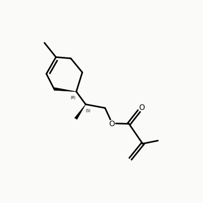 C=C(C)C(=O)OC[C@@H](C)[C@H]1CC=C(C)CC1